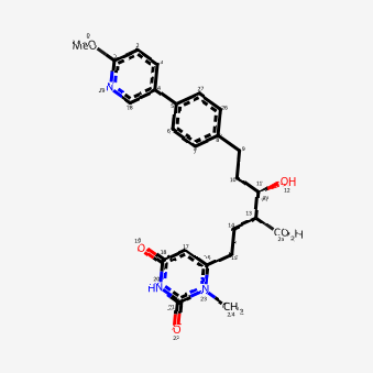 COc1ccc(-c2ccc(CC[C@@H](O)C(CCc3cc(=O)[nH]c(=O)n3C)C(=O)O)cc2)cn1